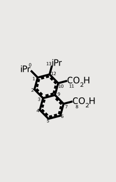 CC(C)c1cc2cccc(C(=O)O)c2c(C(=O)O)c1C(C)C